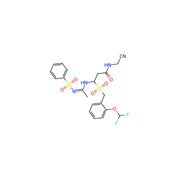 CC(=NS(=O)(=O)c1ccccc1)NC(CC(=O)NCC#N)S(=O)(=O)Cc1ccccc1OC(F)F